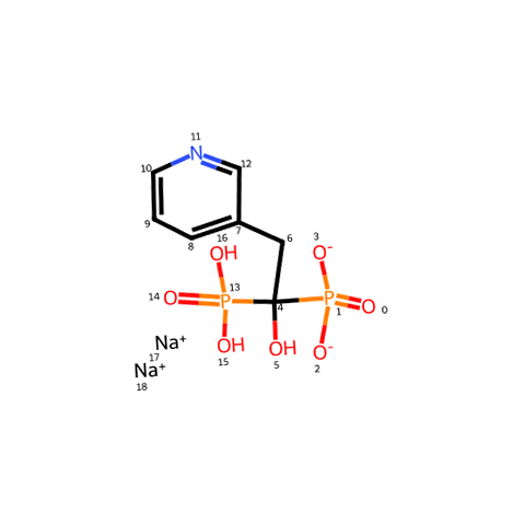 O=P([O-])([O-])C(O)(Cc1cccnc1)P(=O)(O)O.[Na+].[Na+]